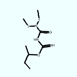 CCC(C)OC(=N)NC(=O)N(SC)SC